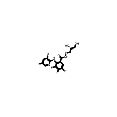 O=C(NOC[C@H](O)CO)c1cc(Cl)c(F)c(F)c1Nc1ncc(F)cc1F